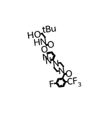 CC(C)(C)C(O)CNC(=O)Oc1ccc(N2CCN(C(=O)c3cc(F)ccc3C(F)(F)F)CC2)nn1